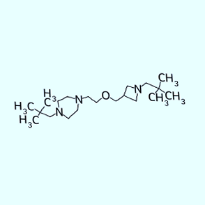 CC(C)(C)CN1CCN(CCOCC2CN(CC(C)(C)C)C2)CC1